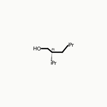 CC(C)C[C@@H](CO)C(C)C